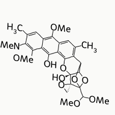 CNc1c(C)cc2c(OC)c3cc(C)c4c(c3c(O)c2c1OC)O[C@]1(O)C2OC(C(OC)OC)(OC42)[C@]12CO2